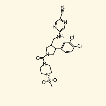 CS(=O)(=O)N1CCN(C(=O)N2CC(CNc3cnc(C#N)cn3)C(c3ccc(Cl)c(Cl)c3)C2)CC1